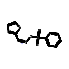 O=S(=O)(O/N=[C]\c1ccco1)c1ccccc1